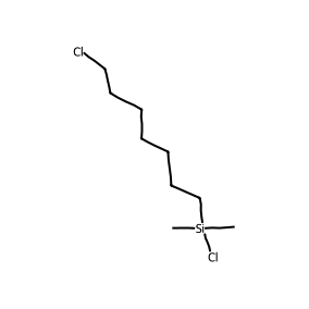 C[Si](C)(Cl)CCCCCCCCl